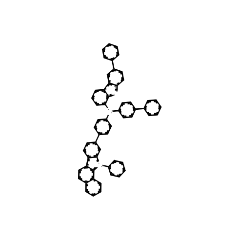 c1ccc(-c2ccc(N(c3ccc(-c4ccc5c6ccc7ccccc7c6n(-c6ccccc6)c5c4)cc3)c3cccc4c3oc3ccc(-c5ccccc5)cc34)cc2)cc1